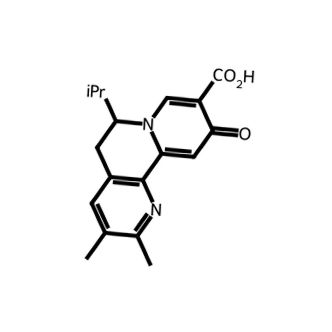 Cc1cc2c(nc1C)-c1cc(=O)c(C(=O)O)cn1C(C(C)C)C2